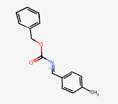 Cc1ccc(/C=N/C(=O)OCc2ccccc2)cc1